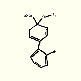 CCCCCCCCCC1(OC(F)(F)F)C=CC(c2ccccc2F)=CC1